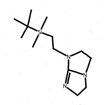 CC(C)(C)[Si](C)(C)CCN1CCN2CCN=C21